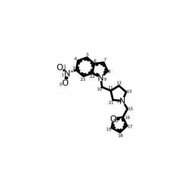 O=[N+]([O-])c1ccc2ccn(CC3CCN(Cc4ccco4)C3)c2c1